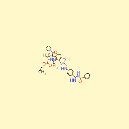 CCCOC(=O)CNC(C)(C(=O)N1CCCC1)c1ccc2[nH]c(CNc3ccc(C(=N)NC(=O)c4ccccc4)cc3)nc2c1C